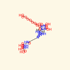 CN1CCN(CC(=O)O)CCN(CC(=O)O)CCN(CC(=O)O)C(Cc2ccc(Nc3nc(NCCOCCOCCOCCOCCOCCOCCOCCOCCC(=O)O)nc(N4CCN(CCCCCCCCCCC(=O)NCCCC[C@H](NC(=O)N[C@@H](CCC(=O)O)C(=O)O)C(=O)O)CC4)n3)cc2)C1